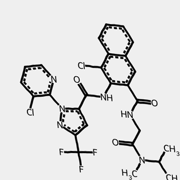 CC(C)N(C)C(=O)CNC(=O)c1cc2ccccc2c(Cl)c1NC(=O)c1cc(C(F)(F)F)nn1-c1ncccc1Cl